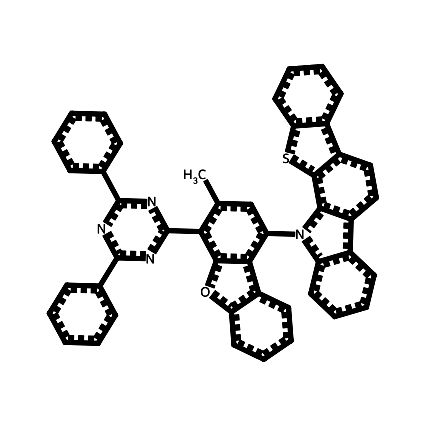 Cc1cc(-n2c3ccccc3c3ccc4c5ccccc5sc4c32)c2c(oc3ccccc32)c1-c1nc(-c2ccccc2)nc(-c2ccccc2)n1